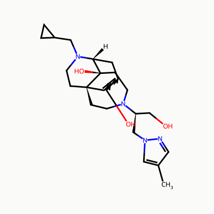 Cc1cnn(C[C@H](CO)N2CC[C@]34CCN(CC5CC5)[C@H](Cc5ccc(O)cc53)[C@]4(O)CC2)c1